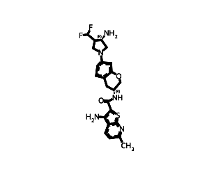 Cc1ccc2c(N)c(C(=O)N[C@H]3COc4cc(N5CC(C(F)F)[C@@H](N)C5)ccc4C3)sc2n1